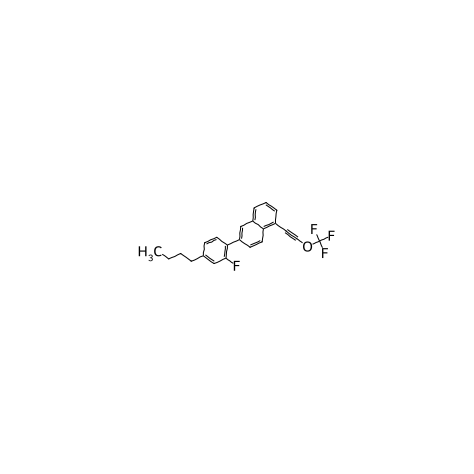 CCCCc1ccc(-c2ccc3c(C#COC(F)(F)F)cccc3c2)c(F)c1